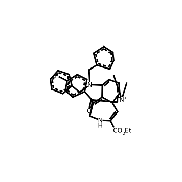 CCOC(=O)C1=CC23C(=CCN1)C(N(Cc1ccccc1)Cc1ccccc1)=CC=C2[N+](C)(C)CC3C(=O)c1ccc(F)cc1